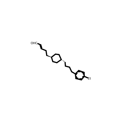 CCc1ccc(CCCC[C@H]2CC[C@H](CCC=CC=O)CC2)cc1